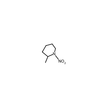 CC1CCCCN1[N+](=O)[O-]